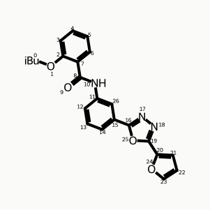 CCC(C)Oc1ccccc1C(=O)Nc1cccc(-c2nnc(-c3ccco3)o2)c1